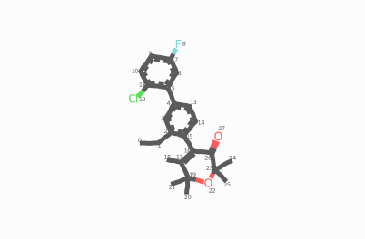 CCc1cc(-c2cc(F)ccc2Cl)ccc1C1=C(C)C(C)(C)OC(C)(C)C1=O